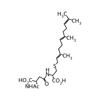 CC(=O)N[C@H](CC(=O)N[C@@H](CSC/C=C(\C)CC/C=C(\C)CCC=C(C)C)C(=O)O)C(=O)O